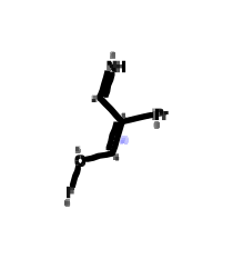 CC(C)/C(C=N)=C/OF